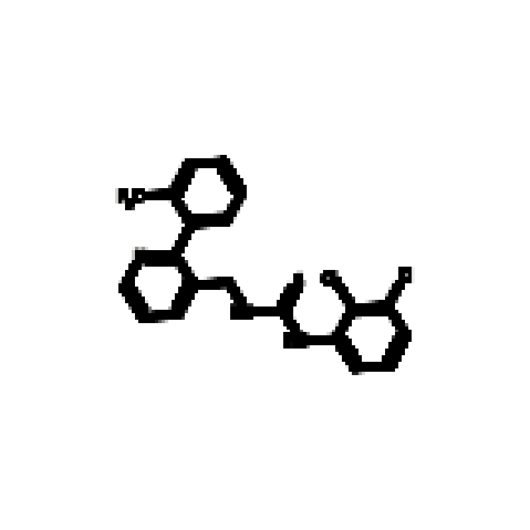 FC(F)(F)c1ccccc1-c1ncccc1CNC(=S)Nc1cccc(Cl)c1Cl